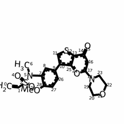 C=CS(=O)(=O)N(C)c1cc(-c2csc3c(=O)cc(N4CCOCC4)oc23)ccc1OC